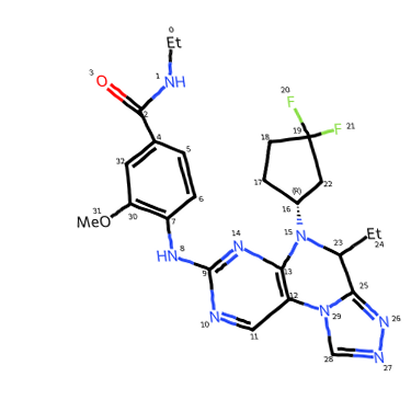 CCNC(=O)c1ccc(Nc2ncc3c(n2)N([C@@H]2CCC(F)(F)C2)C(CC)c2nncn2-3)c(OC)c1